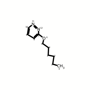 CCCCCCOc1cc[c]nn1